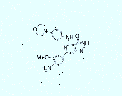 COc1cc(-c2cc3nc[nH]c(=O)c3c(Nc3ccc(N4CCOCC4)cc3)n2)ccc1N